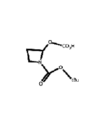 CC(C)(C)OC(=O)N1CCC1OC(=O)O